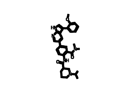 COc1ccccc1-c1c[nH]c2ncc(-c3ccc(NC(=O)C4CCCN(C(C)C)C4)c(C(=O)N(C)C)c3)cc12